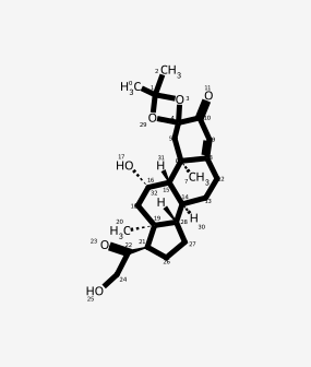 CC1(C)OC2(C[C@@]3(C)C(=CC2=O)CC[C@@H]2[C@@H]3[C@@H](O)C[C@]3(C)[C@H](C(=O)CO)CC[C@@H]23)O1